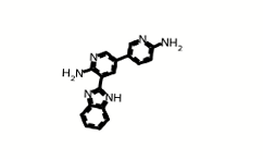 Nc1ccc(-c2cnc(N)c(-c3nc4ccccc4[nH]3)c2)cn1